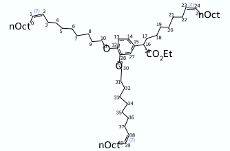 CCCCCCCC/C=C\CCCCCCCCOc1ccc(C(CCCCCC/C=C\CCCCCCCC)C(=O)OCC)cc1OCCCCCCCC/C=C\CCCCCCCC